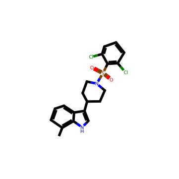 Cc1cccc2c(C3CCN(S(=O)(=O)c4c(Cl)cccc4Cl)CC3)c[nH]c12